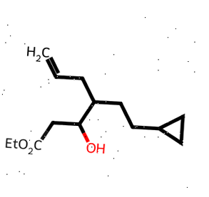 C=CCC(CCC1CC1)C(O)CC(=O)OCC